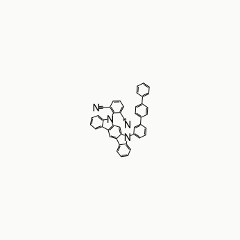 N#Cc1cccc(C#N)c1-n1c2ccccc2c2cc3c4ccccc4n(-c4cccc(-c5ccc(-c6ccccc6)cc5)c4)c3cc21